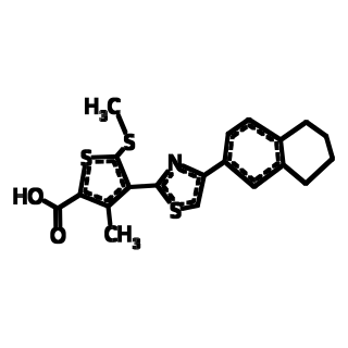 CSc1sc(C(=O)O)c(C)c1-c1nc(-c2ccc3c(c2)CCCC3)cs1